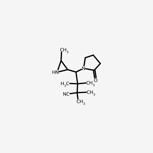 CC1NC1C(N1CCCC1=O)C(C)(C)C(C)(C)C#N